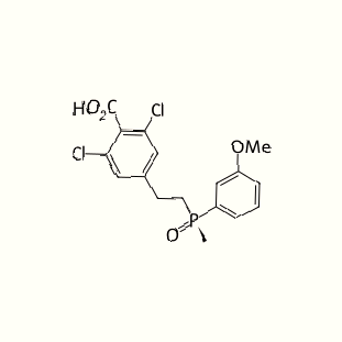 COc1cccc([P@](C)(=O)CCc2cc(Cl)c(C(=O)O)c(Cl)c2)c1